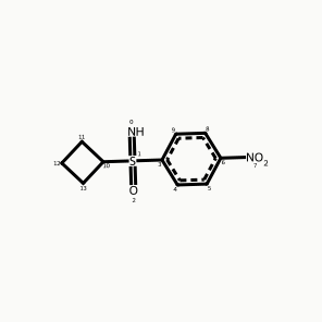 N=S(=O)(c1ccc([N+](=O)[O-])cc1)C1CCC1